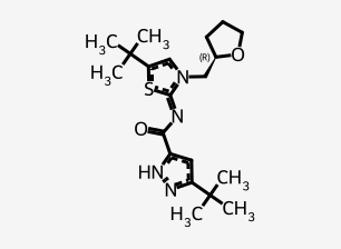 CC(C)(C)c1cc(C(=O)N=c2sc(C(C)(C)C)cn2C[C@H]2CCCO2)[nH]n1